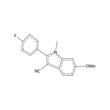 COc1ccc2c(C#N)c(-c3ccc(F)cc3)n(C)c2c1